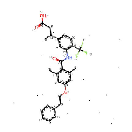 Cc1cc(OCCc2ccccc2)cc(C)c1C(=O)Nc1cc(C(C)CC(=O)O)ccc1C(F)(F)F